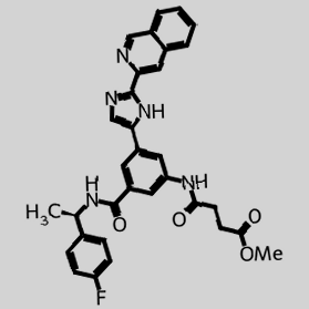 COC(=O)CCC(=O)Nc1cc(C(=O)N[C@H](C)c2ccc(F)cc2)cc(-c2cnc(-c3cc4ccccc4cn3)[nH]2)c1